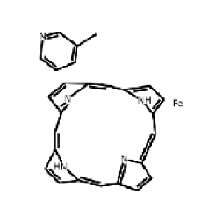 C1=Cc2cc3ccc(cc4nc(cc5ccc(cc1n2)[nH]5)C=C4)[nH]3.Cc1cccnc1.[Fe]